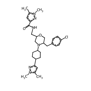 Cc1cc(C(=O)NCC2CN(C3CCC(c4cc(C)n(C)n4)CC3)C(Cc3ccc(Cl)cc3)CO2)nn1C